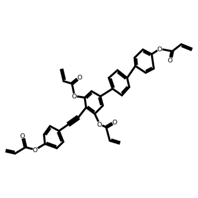 C=CC(=O)Oc1ccc(C#Cc2c(OC(=O)C=C)cc(-c3ccc(-c4ccc(OC(=O)C=C)cc4)cc3)cc2OC(=O)C=C)cc1